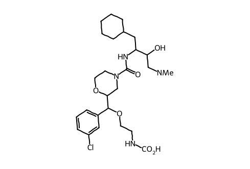 CNCC(O)C(CC1CCCCC1)NC(=O)N1CCOC(C(OCCNC(=O)O)c2cccc(Cl)c2)C1